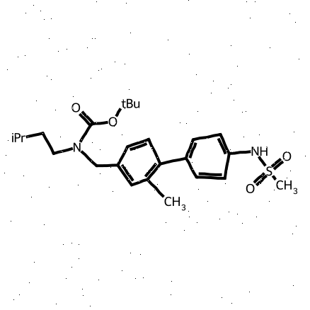 Cc1cc(CN(CCC(C)C)C(=O)OC(C)(C)C)ccc1-c1ccc(NS(C)(=O)=O)cc1